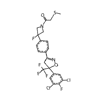 CSCC(=O)N1CC(F)(c2ccc(C3=NOC(c4cc(Cl)c(F)c(Cl)c4)(C(F)(F)F)C3)cc2)C1